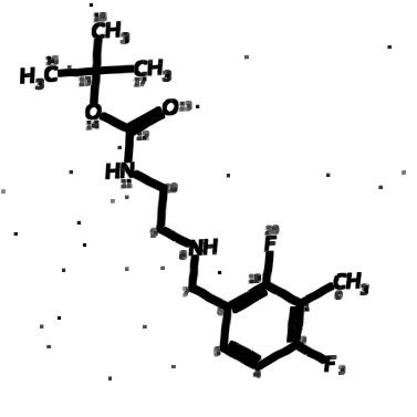 Cc1c(F)ccc(CNCCNC(=O)OC(C)(C)C)c1F